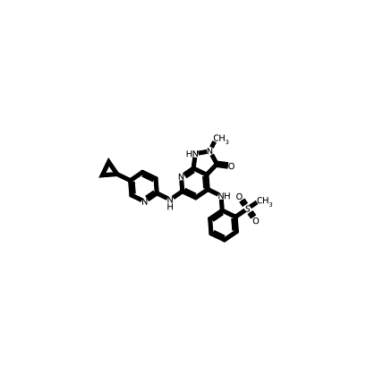 Cn1[nH]c2nc(Nc3ccc(C4CC4)cn3)cc(Nc3ccccc3S(C)(=O)=O)c2c1=O